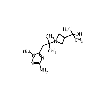 CC(C)(O)C1CN(C(C)(C)Cc2nc(N)nn2C(C)(C)C)C1